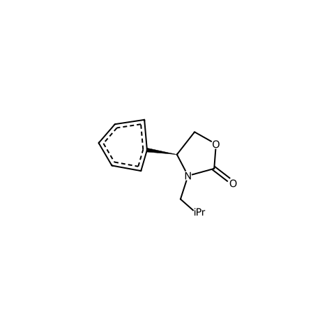 CC(C)CN1C(=O)OC[C@@H]1c1ccccc1